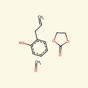 C=CCc1ccccc1O.C=O.O=C1OCCO1